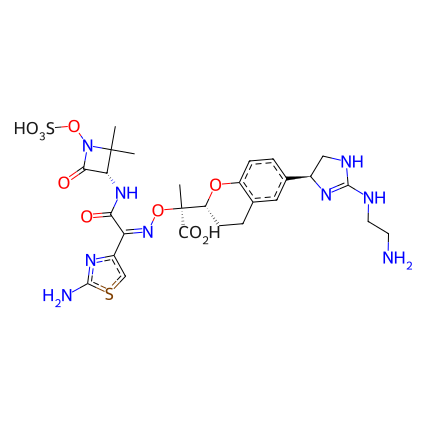 CC1(C)[C@H](NC(=O)/C(=N\O[C@](C)(C(=O)O)[C@H]2CCc3cc([C@H]4CNC(NCCN)=N4)ccc3O2)c2csc(N)n2)C(=O)N1OS(=O)(=O)O